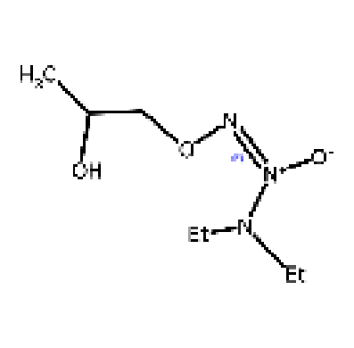 CCN(CC)/[N+]([O-])=N\OCC(C)O